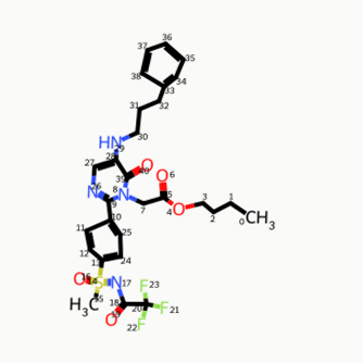 CCCCOC(=O)Cn1c(-c2ccc(S(C)(=O)=NC(=O)C(F)(F)F)cc2)ncc(NCCCc2ccccc2)c1=O